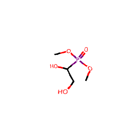 COP(=O)(OC)C(O)CO